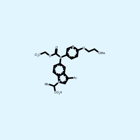 COCCOc1ccc(N(C(=O)OCC(Cl)(Cl)Cl)c2ccc3c(c2)c(C(C)=O)cn3C(C(=O)O)C(C)(C)C)cn1